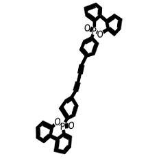 O=P1(c2ccc(C#CC#Cc3ccc(P4(=O)Oc5ccccc5-c5ccccc54)cc3)cc2)Oc2ccccc2-c2ccccc21